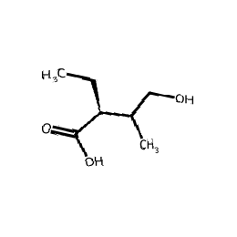 CC[C@H](C(=O)O)C(C)CO